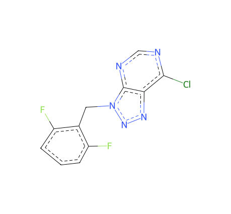 Fc1cccc(F)c1Cn1nnc2c(Cl)ncnc21